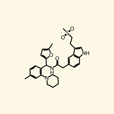 Cc1ccc(C(NC(=O)Cc2ccc3[nH]cc(CCS(C)(=O)=O)c3c2)c2ccc(C)o2)c(N2CCCCC2)c1